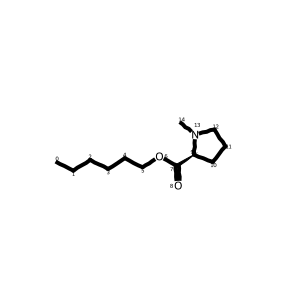 CCCCCCOC(=O)[C@@H]1CCCN1C